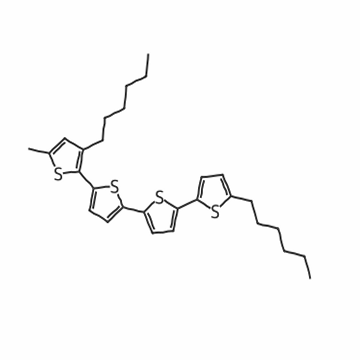 CCCCCCc1ccc(-c2ccc(-c3ccc(-c4sc(C)cc4CCCCCC)s3)s2)s1